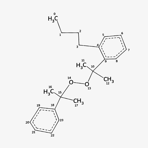 CCCCc1ccccc1C(C)(C)OOC(C)(C)c1ccccc1